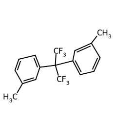 Cc1cccc(C(c2cccc(C)c2)(C(F)(F)F)C(F)(F)F)c1